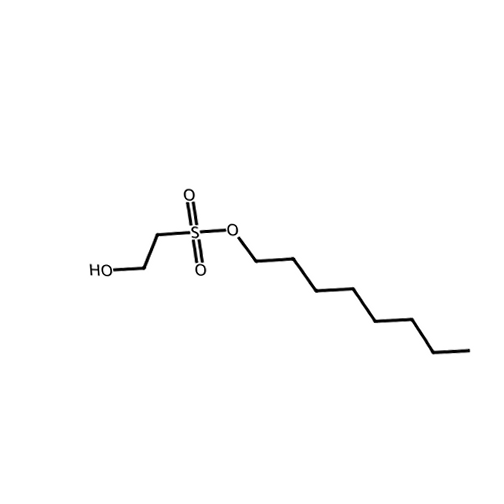 CCCCCCCCOS(=O)(=O)CCO